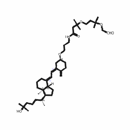 C=C1CC[C@H](OCCCNC(=O)CC(C)(C)OCCC(C)(C)OCC=O)C/C1=C/C=C1\CCC[C@]2(C)C([C@H](C)CCCC(C)(C)O)CC[C@@H]12